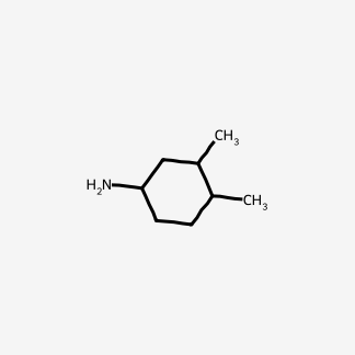 CC1CCC(N)CC1C